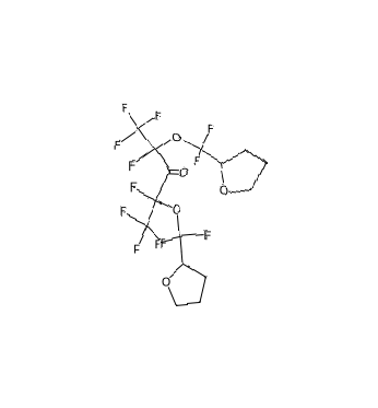 O=C(C(F)(OC(F)(F)C1CCCO1)C(F)(F)F)C(F)(OC(F)(F)C1CCCO1)C(F)(F)F